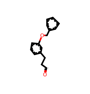 O=[C]CCc1cccc(OCc2ccccc2)c1